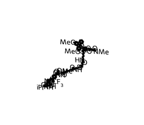 CNC(=O)CCC(=O)O[C@@H]1C[C@@H](COC(c2ccccc2)(c2ccc(OC)cc2)c2ccc(OC)cc2)N(C(=O)CCCCCNC(=O)CCC(C)(C)SSCCNC(=O)CCCCCNC(=O)CC[C@H](NC(=O)c2ccc(N(Cc3cnc4nc(NC(=O)C(C)C)[nH]c(=O)c4n3)C(=O)C(F)(F)F)cc2)C(=O)OC)C1